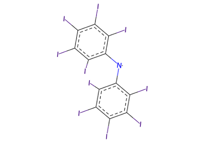 Ic1c(I)c(I)c([N]c2c(I)c(I)c(I)c(I)c2I)c(I)c1I